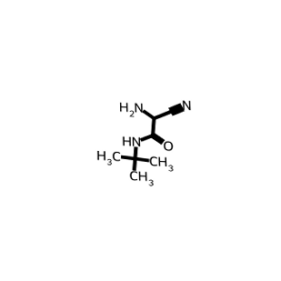 CC(C)(C)NC(=O)C(N)C#N